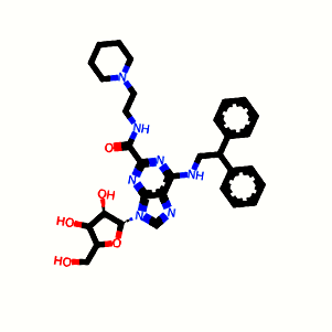 O=C(NCCN1CCCCC1)c1nc(NCC(c2ccccc2)c2ccccc2)c2ncn([C@@H]3OC(CO)C(O)[C@H]3O)c2n1